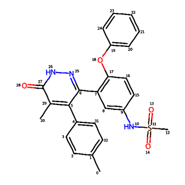 Cc1ccc(-c2c(-c3cc(NS(C)(=O)=O)ccc3Oc3ccccc3)n[nH]c(=O)c2C)cc1